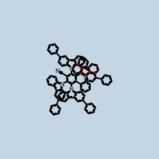 N#Cc1c(-n2c3ccccc3c3cc(-c4ccccc4)ccc32)c(-n2c3ccccc3c3cc(-c4ccccc4)ccc32)c(-c2ccccc2-n2c3ccccc3c3ccccc32)c(-n2c3ccccc3c3cc(-c4ccccc4)ccc32)c1-n1c2ccccc2c2cc(-c3ccccc3)ccc21